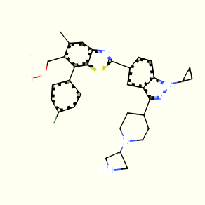 Cc1cc2nc(-c3ccc4c(c3)c(C3CCN(C5CNC5)CC3)nn4C3CC3)sc2c(-c2ccc(Cl)cc2)c1[C@H](OC(C)(C)C)C(=O)O